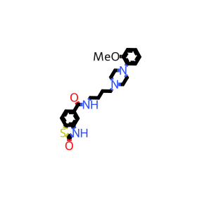 COc1ccccc1N1CCN(CCCCNC(=O)c2ccc3sc(=O)[nH]c3c2)CC1